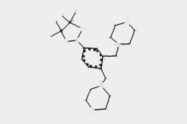 CC1(C)OB(c2ccc(CN3CCOCC3)c(CN3CCOCC3)c2)OC1(C)C